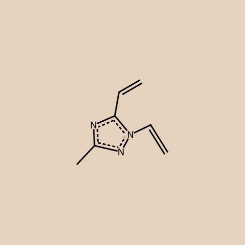 C=Cc1nc(C)nn1C=C